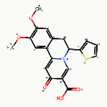 COc1cc2c(cc1OC)-c1cc(=O)c(C(=O)O)cn1C(c1cccs1)C2